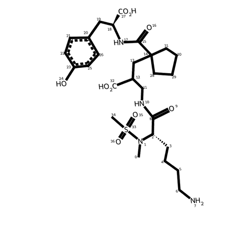 CN([C@@H](CCCCN)C(=O)NCC(CC1(C(=O)N[C@@H](Cc2ccc(O)cc2)C(=O)O)CCCC1)C(=O)O)S(C)(=O)=O